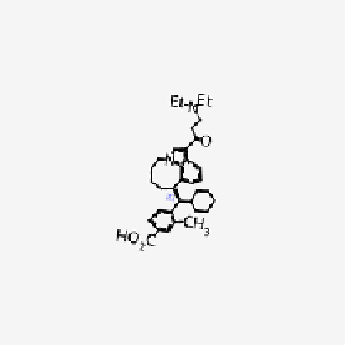 CCN(CC)CCC(=O)c1cn2c3c(cccc13)/C(=C(/c1ccc(C(=O)O)cc1C)C1CCCCC1)CCCC2